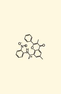 Cc1cc([C@@H](C)Nc2ccccc2[N+](=O)[O-])c2oc(-c3ccccc3)c(C)c(=O)c2c1